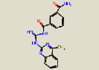 Cc1nc(NC(=N)NC(=O)c2cccc(C(N)=O)c2)nc2ccccc12